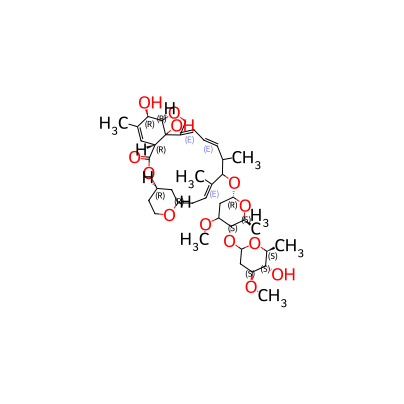 COC1C[C@H](OC2/C(C)=C/C[C@@H]3C[C@@H](CCO3)OC(=O)[C@@H]3C=C(C)[C@@H](O)[C@H]4OC/C(=C\C=C\C2C)C43O)O[C@@H](C)[C@@H]1OC1C[C@H](OC)[C@@H](O)[C@H](C)O1